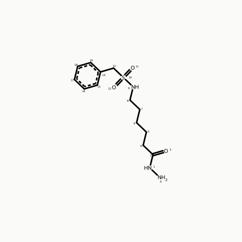 NNC(=O)CCCCCNS(=O)(=O)Cc1ccccc1